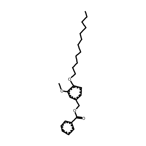 CCCCCCCCCCCCOc1ccc(COC(=O)c2ccccc2)cc1OC